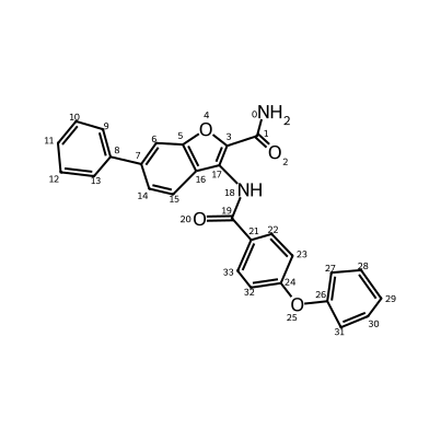 NC(=O)c1oc2cc(-c3ccccc3)ccc2c1NC(=O)c1ccc(Oc2ccccc2)cc1